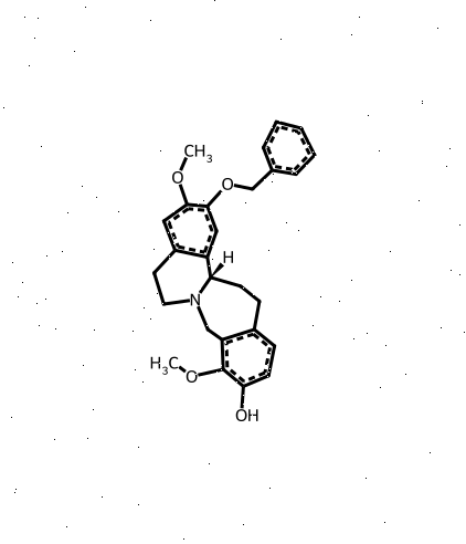 COc1cc2c(cc1OCc1ccccc1)[C@@H]1CCc3ccc(O)c(OC)c3CN1CC2